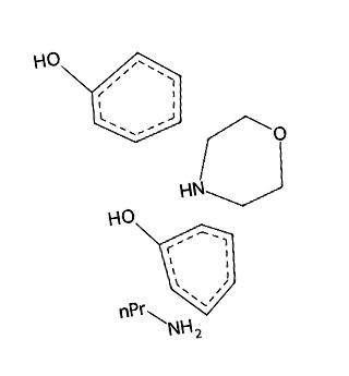 C1COCCN1.CCCN.Oc1ccccc1.Oc1ccccc1